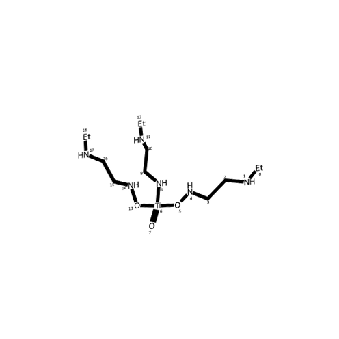 CCNCCN[O][Ti](=[O])([NH]CCNCC)[O]NCCNCC